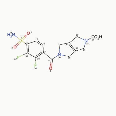 NS(=O)(=O)c1ccc(C(=O)N2CC3=C(CN(C(=O)O)C3)C2)c(F)c1F